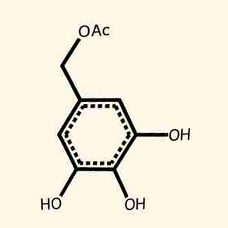 CC(=O)OCc1cc(O)c(O)c(O)c1